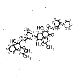 CC(C)Cn1c(=O)c(C(=O)Nc2cc(N3CCOCC3)ccn2)c(O)c2cc(-c3cc(Cl)cc(NC(=O)c4c(O)c5ccccc5n(CC(C)C)c4=O)n3)ccc21